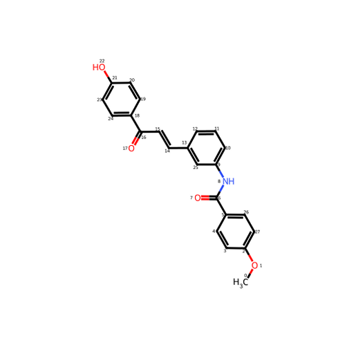 COc1ccc(C(=O)Nc2cccc(/C=C/C(=O)c3ccc(O)cc3)c2)cc1